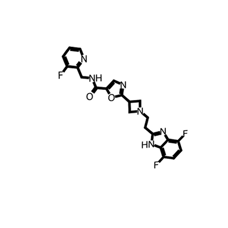 O=C(NCc1ncccc1F)c1cnc(C2CN(CCc3nc4c(F)ccc(F)c4[nH]3)C2)o1